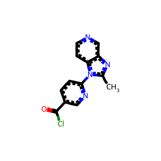 Cc1nc2cnccc2n1-c1ccc(C(=O)Cl)cn1